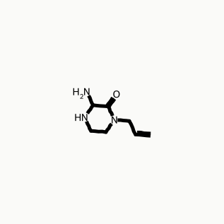 C=CCN1CCNC(N)C1=O